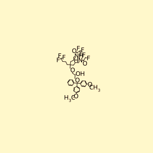 COc1ccc(C(OCC(O)COCC(CCCNC(=O)C(F)F)(CCCNC(=O)C(F)(F)F)CCCC(F)(F)F)(c2ccccc2)c2ccc(OC)cc2)cc1